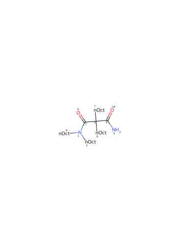 CCCCCCCCN(CCCCCCCC)C(=O)C(CCCCCCCC)(CCCCCCCC)C(N)=O